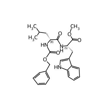 COC(=O)[C@H](Cc1c[nH]c2ccccc12)NC(=O)[C@@H](CC(C)C)NC(=O)OCc1ccccc1